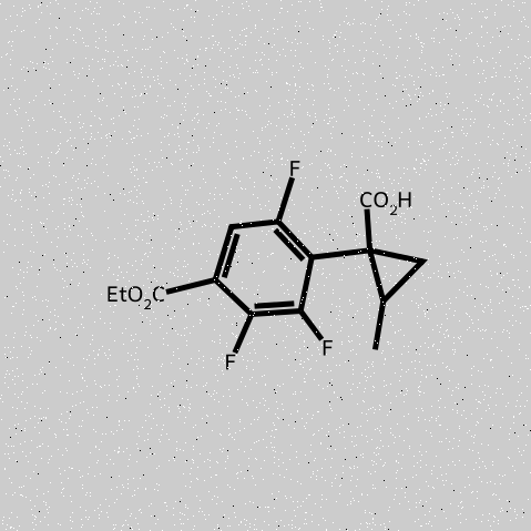 CCOC(=O)c1cc(F)c(C2(C(=O)O)CC2C)c(F)c1F